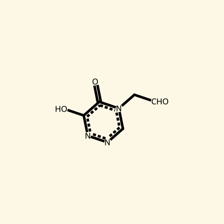 O=CCn1cnnc(O)c1=O